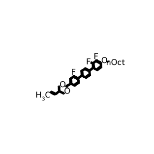 C/C=C/C1COC(c2ccc(-c3ccc(-c4ccc(OCCCCCCCC)c(F)c4F)cc3)c(F)c2)OC1